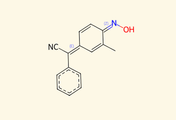 CC1=CC(=C(/C#N)c2ccccc2)/C=CC/1=N/O